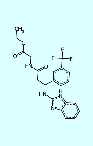 CCOC(=O)CNC(=O)CC(Nc1nc2ccccc2[nH]1)c1cccc(C(F)(F)F)c1